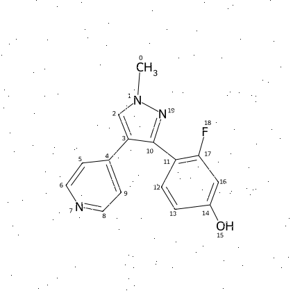 Cn1cc(-c2ccncc2)c(-c2ccc(O)cc2F)n1